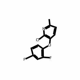 Cc1ccc(Oc2ccc(F)cc2F)c(Cl)n1